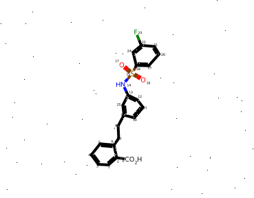 O=C(O)c1ccccc1CCc1cccc(NS(=O)(=O)c2cccc(F)c2)c1